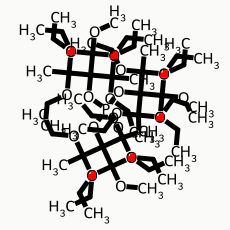 CCOC(C)(OCC)C(OP(=O)(OC(C(C)(OCC)OCC)(C(C)(OCC)OCC)C(OC)(OCC)OCC)OC(C(C)(OCC)OCC)(C(C)(OCC)OCC)C(OC)(OCC)OCC)(C(C)(OCC)OCC)C(OC)(OCC)OCC